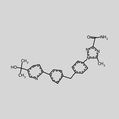 Cc1nc(C(N)=O)nn1-c1ccc(Cc2ccc(-c3ccc(C(C)(C)O)cn3)cc2)cc1